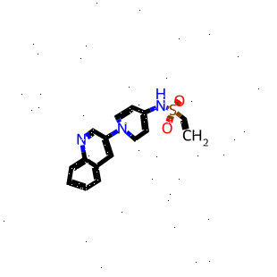 C=CS(=O)(=O)NC1=CCN(c2cnc3ccccc3c2)C=C1